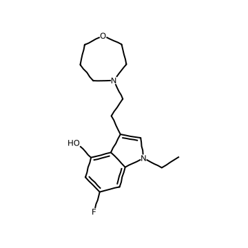 CCn1cc(CCN2CCCOCC2)c2c(O)cc(F)cc21